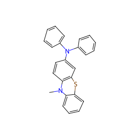 CN1c2ccccc2Sc2cc(N(c3ccccc3)c3ccccc3)ccc21